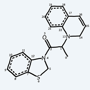 CC(C(=O)N1CSc2ccccc21)N1CC=Cc2ccccc21